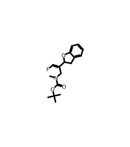 CN(C/C(=C\F)C1Cc2ccccc2O1)C(=O)OC(C)(C)C